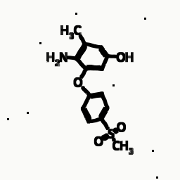 Cc1cc(O)cc(Oc2ccc(S(C)(=O)=O)cc2)c1N